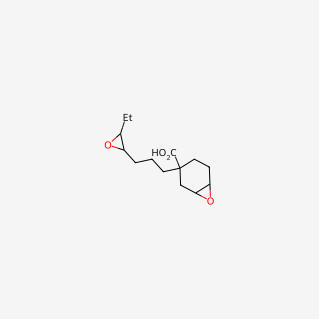 CCC1OC1CCCC1(C(=O)O)CCC2OC2C1